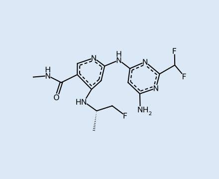 CNC(=O)c1cnc(Nc2cc(N)nc(C(F)F)n2)cc1N[C@@H](C)CF